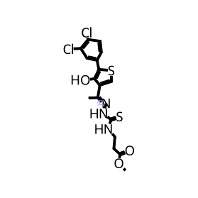 COC(=O)CCNC(=S)N/N=C(\C)c1csc(-c2ccc(Cl)c(Cl)c2)c1O